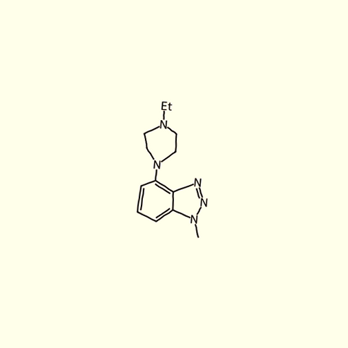 CCN1CCN(c2cccc3c2nnn3C)CC1